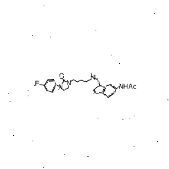 CC(=O)Nc1ccc2c(c1)C(CN(C)CCCCN1CCN(c3ccc(F)cc3)C1=O)CC2